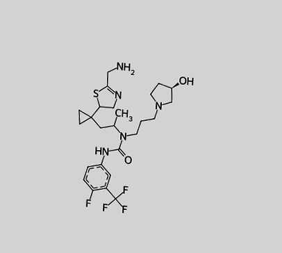 CC(CC1(C2CN=C(CN)S2)CC1)N(CCCN1CC[C@@H](O)C1)C(=O)Nc1ccc(F)c(C(F)(F)F)c1